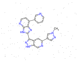 Cn1cc(-c2cc3c(-c4nc5c(-c6cccnc6)ccnc5[nH]4)n[nH]c3cn2)cn1